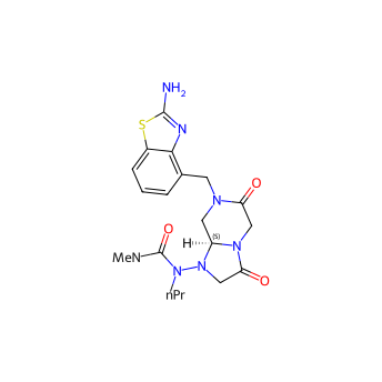 CCCN(C(=O)NC)N1CC(=O)N2CC(=O)N(Cc3cccc4sc(N)nc34)C[C@@H]21